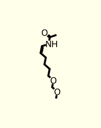 COCOCCCC/C=C\NC(C)=O